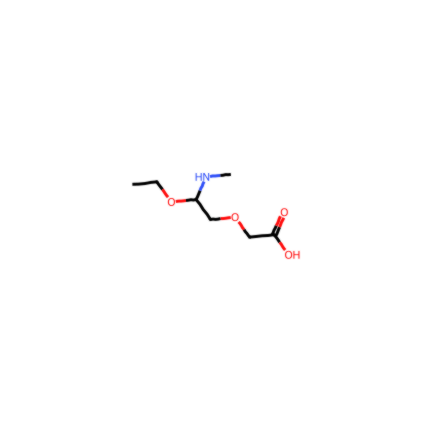 CCOC(COCC(=O)O)NC